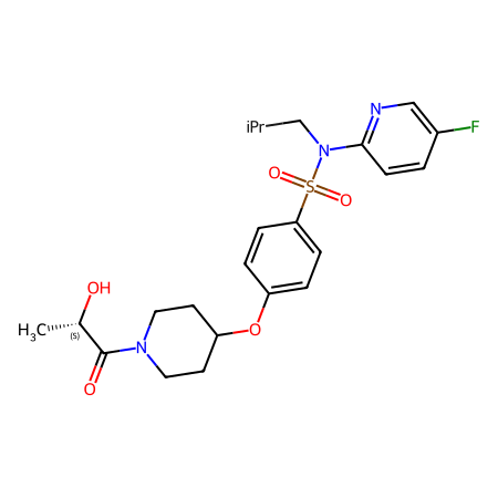 CC(C)CN(c1ccc(F)cn1)S(=O)(=O)c1ccc(OC2CCN(C(=O)[C@H](C)O)CC2)cc1